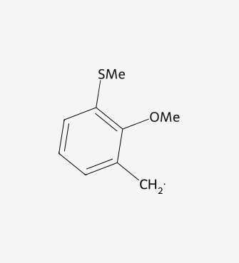 [CH2]c1cccc(SC)c1OC